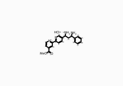 COC(=O)c1ccnc(-c2ccc(C(N)CC(N)c3ccccc3)cn2)c1.Cl